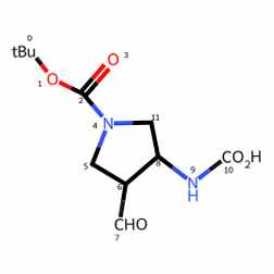 CC(C)(C)OC(=O)N1CC(C=O)C(NC(=O)O)C1